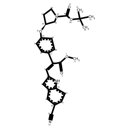 COC(=O)/C(=C\c1cc2cc(C#N)ccc2[nH]1)c1ccc(O[C@H]2CCN(C(=O)OC(C)(C)C)C2)cc1